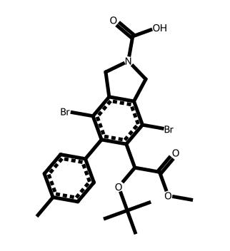 COC(=O)C(OC(C)(C)C)c1c(Br)c2c(c(Br)c1-c1ccc(C)cc1)CN(C(=O)O)C2